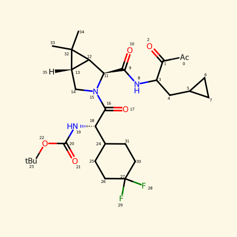 CC(=O)C(=O)C(CC1CC1)NC(=O)[C@@H]1C2[C@H](CN1C(=O)[C@@H](NC(=O)OC(C)(C)C)C1CCC(F)(F)CC1)C2(C)C